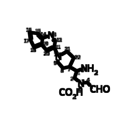 NC(CN(CC=O)C(=O)O)C1CCN(c2cnc3ccccc3c2)CC1